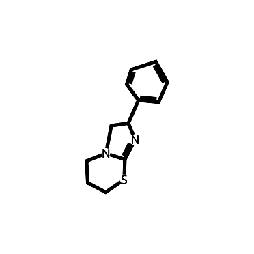 c1ccc(C2CN3CCCSC3=N2)cc1